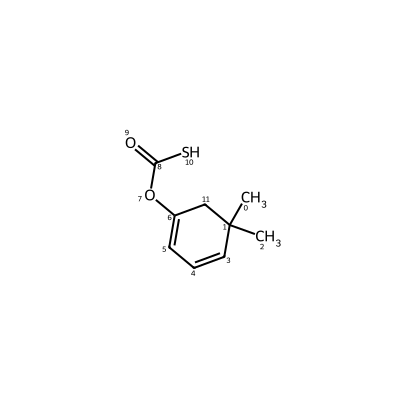 CC1(C)C=CC=C(OC(=O)S)C1